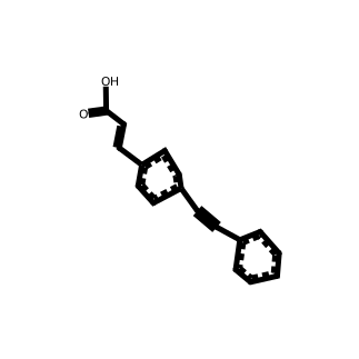 O=C(O)C=Cc1ccc(C#Cc2ccccc2)cc1